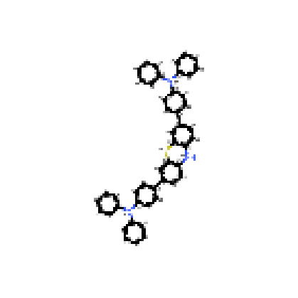 c1ccc(N(c2ccccc2)c2ccc(-c3ccc4c(c3)Sc3cc(-c5ccc(N(c6ccccc6)c6ccccc6)cc5)ccc3N4)cc2)cc1